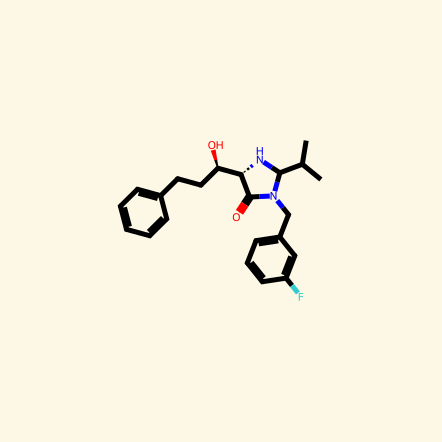 CC(C)C1N[C@@H]([C@H](O)CCc2ccccc2)C(=O)N1Cc1cccc(F)c1